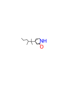 CCCC(C)C(C)(C)c1cc[nH]c(=O)c1